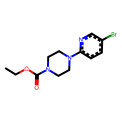 CCOC(=O)N1CCN(c2ccc(Br)cn2)CC1